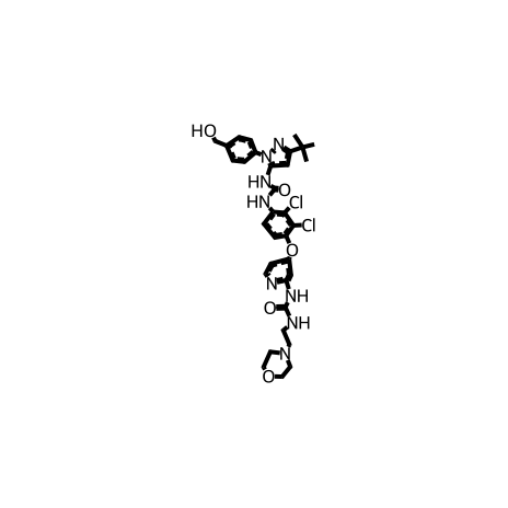 CC(C)(C)c1cc(NC(=O)Nc2ccc(Oc3ccnc(NC(=O)NCCN4CCOCC4)c3)c(Cl)c2Cl)n(-c2ccc(CO)cc2)n1